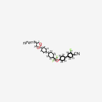 CCCCCC1COC(C2CCC(C3CCC(C(F)(F)Oc4ccc(-c5ccc(C#N)c(F)c5)cc4)CC3)CC2)OC1